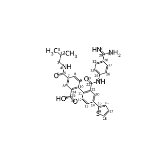 CC(C)CNC(=O)c1ccc(-c2ccc(-c3cccs3)cc2C(=O)Nc2ccc(C(=N)N)cc2)c(C(=O)O)c1